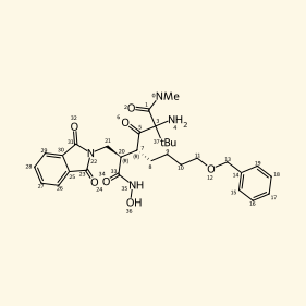 CNC(=O)C(N)(C(=O)[C@H](CCCCOCc1ccccc1)[C@H](CN1C(=O)c2ccccc2C1=O)C(=O)NO)C(C)(C)C